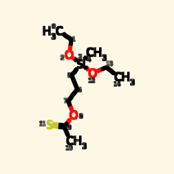 CCO[Si](C)(CCCOC(C)=S)OCC